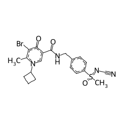 Cc1c(Br)c(=O)c(C(=O)NCc2ccc(S(C)(=O)=NC#N)cc2)cn1C1CCC1